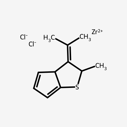 CC(C)=C1C(C)SC2=CC=CC21.[Cl-].[Cl-].[Zr+2]